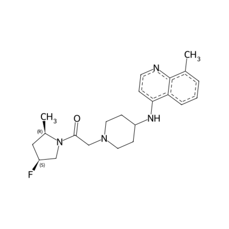 Cc1cccc2c(NC3CCN(CC(=O)N4C[C@@H](F)C[C@H]4C)CC3)ccnc12